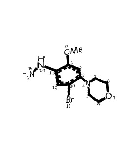 COc1cc(N2CCOCC2)c(Br)cc1NN